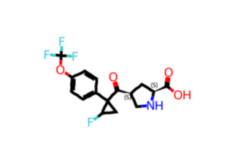 O=C(O)[C@@H]1C[C@H](C(=O)C2(c3ccc(OC(F)(F)F)cc3)CC2F)CN1